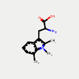 Cc1cccc2c(CC(N)C(=O)O)c(C)n(C)c12